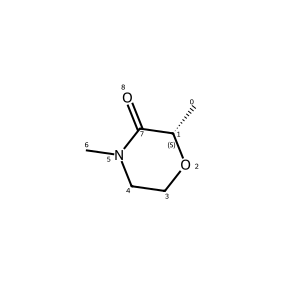 C[C@@H]1OCCN(C)C1=O